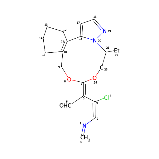 C=N/C=C(Cl)\C(C=O)=C1\OCC2=C(CCCC2)c2ccnn2C(CC)CO1